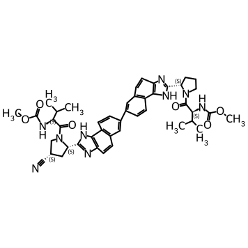 COC(=O)N[C@H](C(=O)N1CCC[C@H]1c1nc2ccc3cc(-c4ccc5c(ccc6nc([C@@H]7C[C@H](C#N)CN7C(=O)[C@@H](NC(=O)OC)C(C)C)[nH]c65)c4)ccc3c2[nH]1)C(C)C